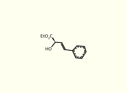 CCOC(=O)[C@H](O)/C=C/c1ccccc1